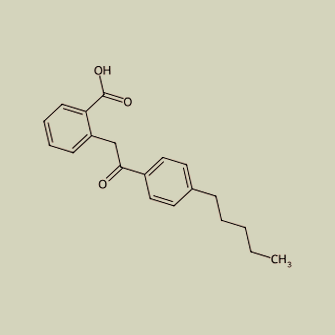 CCCCCc1ccc(C(=O)Cc2ccccc2C(=O)O)cc1